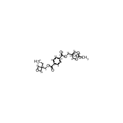 CCC1(COC(=O)c2ccc(C(=O)OCC34COC(C)(OC3)OC4)cc2)COC1